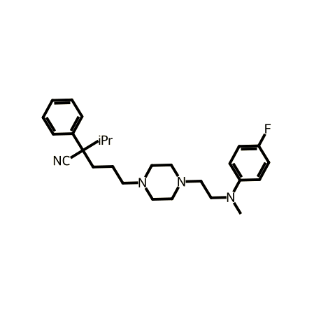 CC(C)C(C#N)(CCCN1CCN(CCN(C)c2ccc(F)cc2)CC1)c1ccccc1